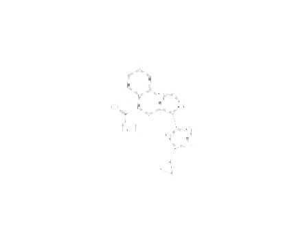 NC(=O)c1cc2c(-c3noc(C4CC4)n3)ncn2c2ccccc12